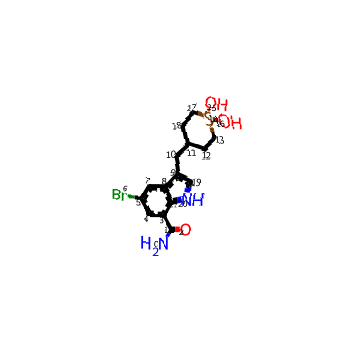 NC(=O)c1cc(Br)cc2c(CC3CCS(O)(O)CC3)c[nH]c12